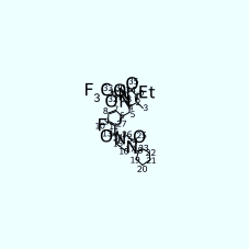 CCc1c(C)c(Cc2ccc(F)c(C(=O)N3CCN(C4CCCCC4)C(=O)C3)c2)nn(OC(=O)C(F)(F)F)c1=O